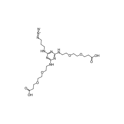 [N-]=[N+]=NCCCNc1nc(NCCOCCOCCC(=O)O)nc(NCCOCCOCCC(=O)O)n1